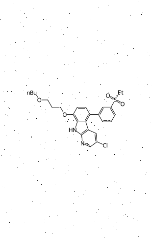 CCCCOCCCOc1ccc(-c2cccc(S(=O)(=O)CC)c2)c2c1[nH]c1ncc(Cl)cc12